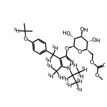 [2H]C(C)(C)Oc1ccc(C([2H])([2H])c2c(O[C@@H]3O[C@H](COC(=O)OCC)[C@@H](O)[C@H](O)[C@H]3O)nn(C([2H])(C([2H])([2H])[2H])C([2H])([2H])[2H])c2C([2H])([2H])[2H])cc1